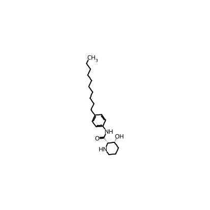 CCCCCCCCCCc1ccc(NC(=O)[C@H]2NCCC[C@H]2O)cc1